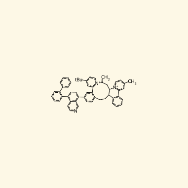 C=C1CC2C(CCc3ccc(-c4ccc(-c5ccccc5-c5ccccc5)c5ccncc45)cc3-c3cc(C(C)(C)C)cc[n+]31)c1ccccc1-c1cc(C)cc[n+]12